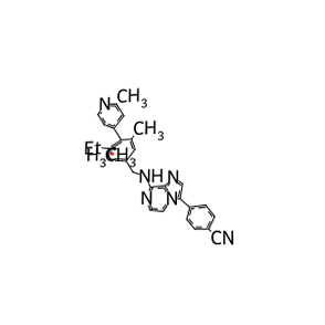 C\C=C(/C=C(C)\C(=C(/C)CC)c1ccnc(C)c1)CNc1nccn2c(-c3ccc(C#N)cc3)cnc12